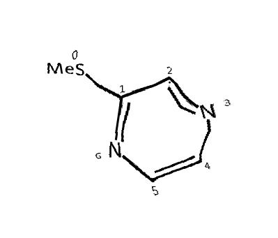 CSc1[c]nccn1